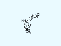 CS(=O)(=O)c1cc(F)c(CN2C(=O)NCC2C2CCN(c3cnc(Cl)cn3)CC2)cc1F